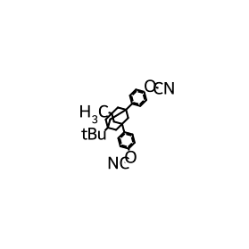 CC12CC3(c4ccc(OC#N)cc4)CC(c4ccc(OC#N)cc4)(C1)CC(C(C)(C)C)(C2)C3